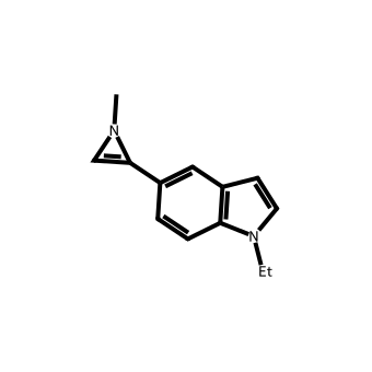 CCn1ccc2cc(C3=CN3C)ccc21